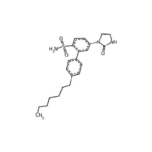 CCCCCCCc1ccc(-c2cc(N3CCNC3=O)ccc2S(N)(=O)=O)cc1